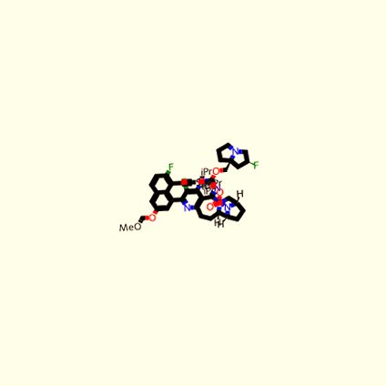 COCOc1cc(-c2nc3c4c(nc(OC[C@@]56CCCN5C[C@H](F)C6)nc4c2F)N2C[C@H]4CC[C@@H]([C@H]2CC3)N4C(=O)OC(C)(C)C)c2c(C#C[Si](C(C)C)(C(C)C)C(C)C)c(F)ccc2c1